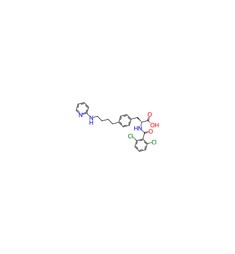 O=C(N[C@@H](Cc1ccc(CCCCNc2ccccn2)cc1)C(=O)O)c1c(Cl)cccc1Cl